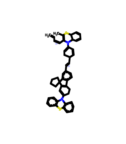 C=C/C=C\C1=C(C)SC2C=CC=CC2N1C1=CCC(/C=C/c2ccc3c(c2)C2(CCCC2)C2=C3CCC(N3c4ccccc4Sc4ccccc43)=C2)C=C1